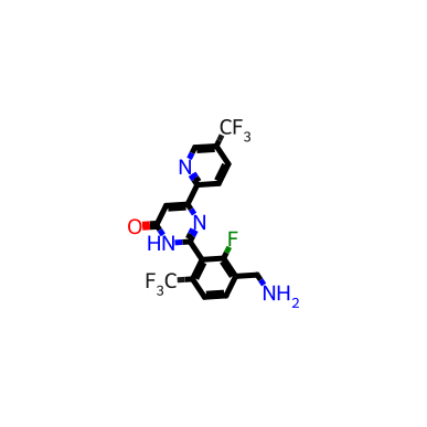 NCc1ccc(C(F)(F)F)c(-c2nc(-c3ccc(C(F)(F)F)cn3)cc(=O)[nH]2)c1F